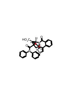 Cn1cc(-c2ccccc2C(=O)N2[C@H]3CC4[C@@H]2[C@]4(C(=O)O)N(C(=O)N(c2ccccc2)c2ccccc2)C3)cn1